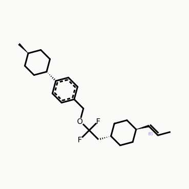 C/C=C/[C@H]1CC[C@H](CC(F)(F)OCc2ccc([C@H]3CC[C@H](C)CC3)cc2)CC1